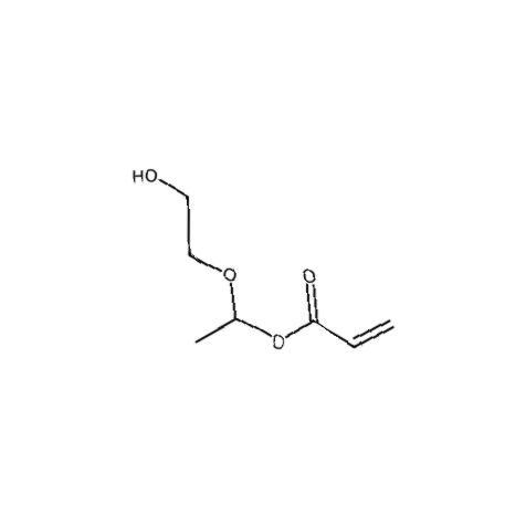 C=CC(=O)OC(C)OCCO